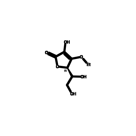 CCOC1=C(O)C(=O)O[C@@H]1C(O)CO